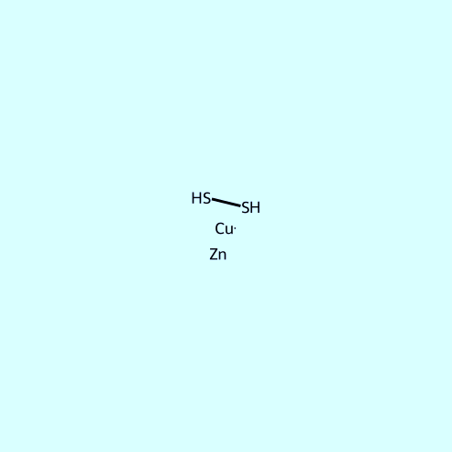 SS.[Cu].[Zn]